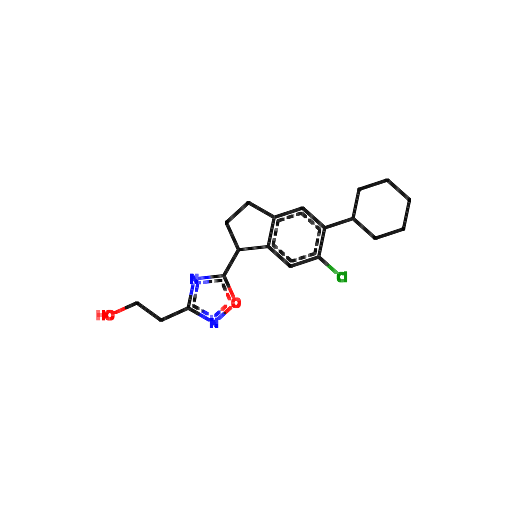 OCCc1noc(C2CCc3cc(C4CCCCC4)c(Cl)cc32)n1